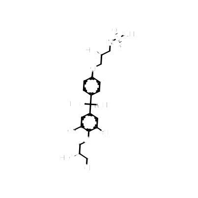 C[C@H](CCl)COc1c(Cl)cc(C(C)(C)c2ccc(OC[C@@H](O)CNS(C)(=O)=O)cc2)cc1Cl